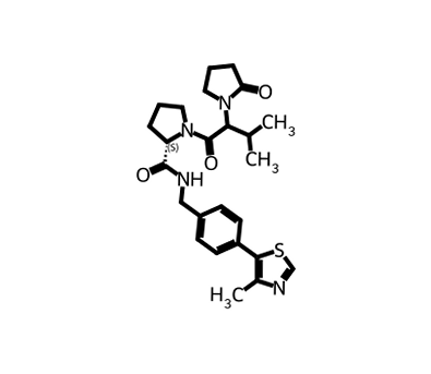 Cc1ncsc1-c1ccc(CNC(=O)[C@@H]2CCCN2C(=O)C(C(C)C)N2CCCC2=O)cc1